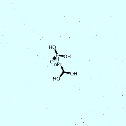 CCCC(O)O.O=[PH](O)O